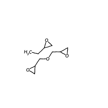 C(OCC1CO1)C1CO1.CCC1CO1